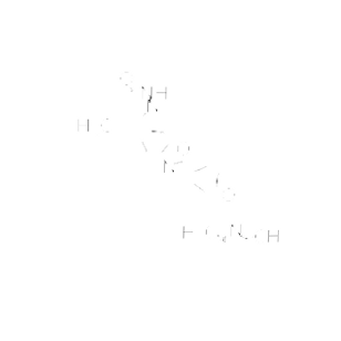 CCC1CC(=O)NN=C1c1ccc2nc(-c3ccc(OCCN4[C@H](C)CC[C@H]4C)cc3)oc2c1